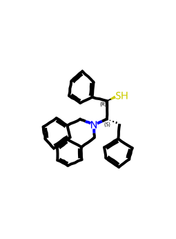 S[C@H](c1ccccc1)[C@H](Cc1ccccc1)N(Cc1ccccc1)Cc1ccccc1